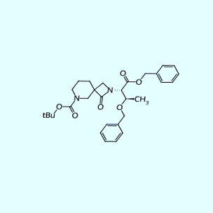 C[C@@H](OCc1ccccc1)[C@@H](C(=O)OCc1ccccc1)N1CC2(CCCN(C(=O)OC(C)(C)C)C2)C1=O